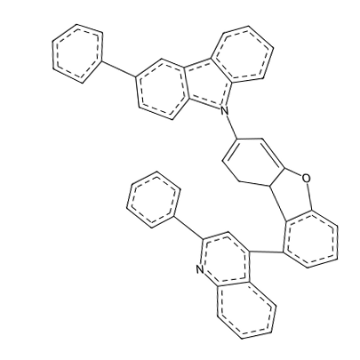 C1=C2Oc3cccc(-c4cc(-c5ccccc5)nc5ccccc45)c3C2CC=C1n1c2ccccc2c2cc(-c3ccccc3)ccc21